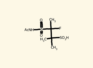 CC(=O)NS(=O)(=O)C(C)(F)C(C)(C)S(=O)(=O)O